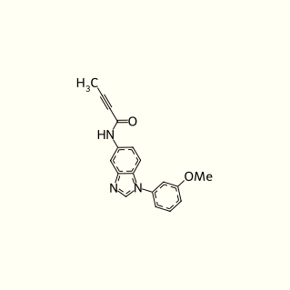 CC#CC(=O)Nc1ccc2c(c1)ncn2-c1cccc(OC)c1